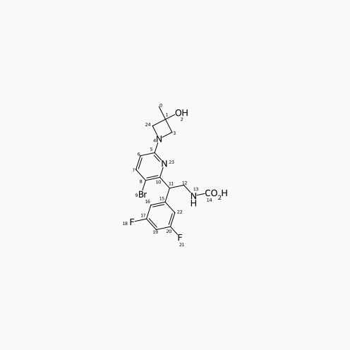 CC1(O)CN(c2ccc(Br)c(C(CNC(=O)O)c3cc(F)cc(F)c3)n2)C1